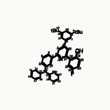 CC(C)(C)c1cc(-c2cc(-c3cccc(N(c4ccccc4)c4ccccn4)c3)nc(-c3cc(F)ccc3O)c2)cc(C(C)(C)C)c1